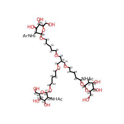 CC(=O)NC1C(O)[C@@H](O)C(CO)O[C@H]1OCCCCCOCC(COCCCCCO[C@@H]1OC(CO)[C@H](O)C(O)C1NC(C)=O)COCCCCCO[C@@H]1OC(CO)[C@H](O)C(O)C1NC(C)=O